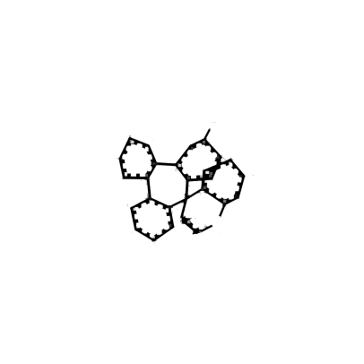 Brc1ccc2c(c1)-c1ccccc1-c1ccccc1C21c2ccccc2Sc2ccccc21